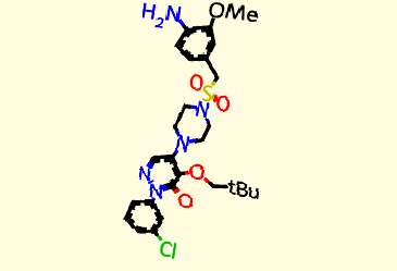 COc1cc(CS(=O)(=O)N2CCN(c3cnn(-c4cccc(Cl)c4)c(=O)c3OCC(C)(C)C)CC2)ccc1N